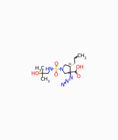 C=CC[C@H]1CN(S(=O)(=O)NCC(C)(C)O)C[C@@]1(N=[N+]=[N-])C(=O)O